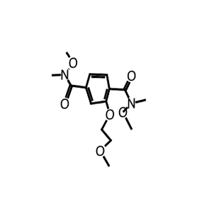 COCCOc1cc(C(=O)N(C)OC)ccc1C(=O)N(C)OC